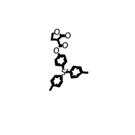 Cc1ccc([S+](c2ccc(C)cc2)c2ccc(OC(=O)C3CCOC3=O)cc2)cc1